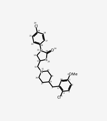 COc1ccc(Cl)c(CC2CCN(CC3CN(c4ccc(Cl)cc4)C(=O)S3)CC2)c1